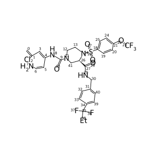 C=C(Cl)/C=C(\C=C/N)NC(=O)N1CCN(S(=O)(=O)c2ccc(OC(F)(F)F)cc2)[C@@H](C(=O)NCc2ccc(C(F)(F)CC)cc2)C1